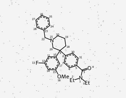 CCN(CC)C(=O)c1ccc(C2(c3cc(F)cc(OC)c3)CCCN(Cc3ccccc3)C2)cc1